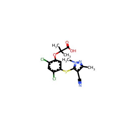 Cc1nn(C)c(Sc2cc(OC(C)(C)C(=O)O)c(Cl)cc2Cl)c1C#N